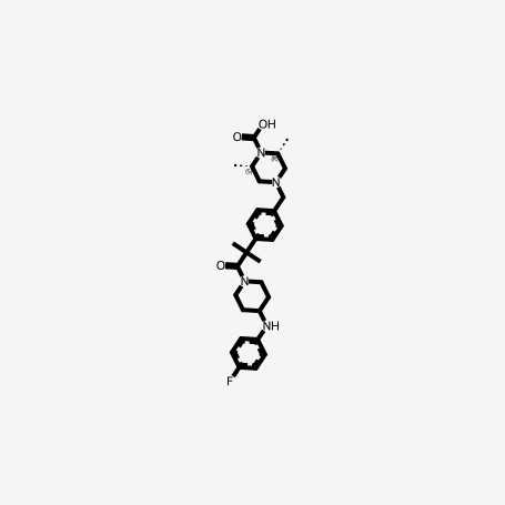 C[C@@H]1CN(Cc2ccc(C(C)(C)C(=O)N3CCC(Nc4ccc(F)cc4)CC3)cc2)C[C@H](C)N1C(=O)O